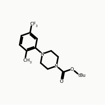 Cc1ccc(C(F)(F)F)cc1N1CCN(C(=O)OC(C)(C)C)CC1